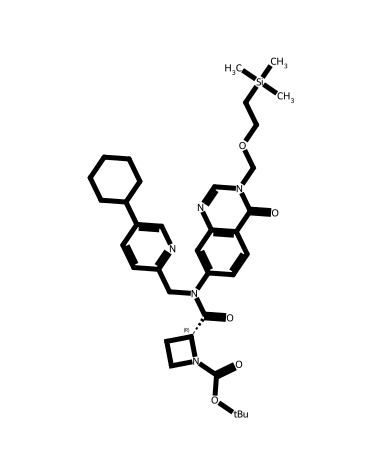 CC(C)(C)OC(=O)N1CC[C@@H]1C(=O)N(Cc1ccc(C2CCCCC2)cn1)c1ccc2c(=O)n(COCC[Si](C)(C)C)cnc2c1